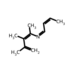 C=C(C)\C(C)=C(C)/N=C\C=C/C